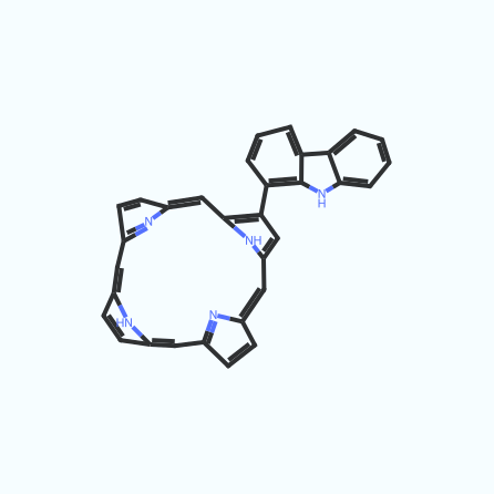 C1=Cc2cc3cc(-c4cccc5c4[nH]c4ccccc45)c(cc4nc(cc5ccc(cc1n2)[nH]5)C=C4)[nH]3